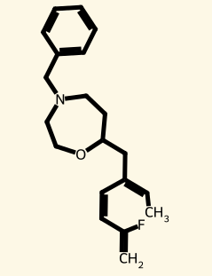 C=C(F)/C=C\C(=C/C)CC1CCN(Cc2ccccc2)CCO1